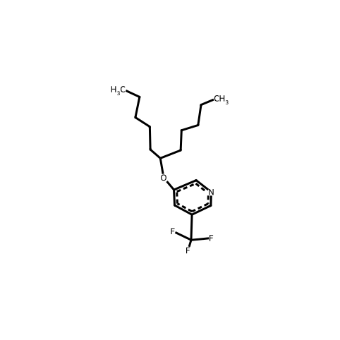 CCCCCC(CCCCC)Oc1cncc(C(F)(F)F)c1